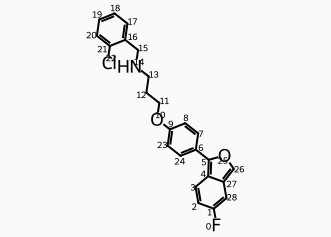 Fc1ccc2c(-c3ccc(OCCCNCc4ccccc4Cl)cc3)occ2c1